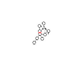 c1ccc(-c2ccc(-c3cccc(-c4ccc5sc6cccc(-c7nc(-c8ccccc8)nc(-c8ccccc8-c8ccccc8)n7)c6c5c4)c3-c3ccccc3)cc2)cc1